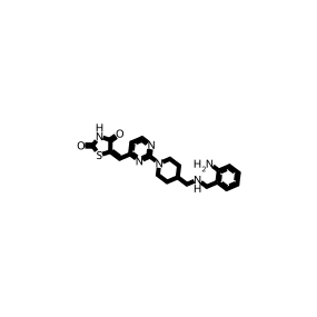 Nc1ccccc1CNCC1CCN(c2nccc(/C=C3/SC(=O)NC3=O)n2)CC1